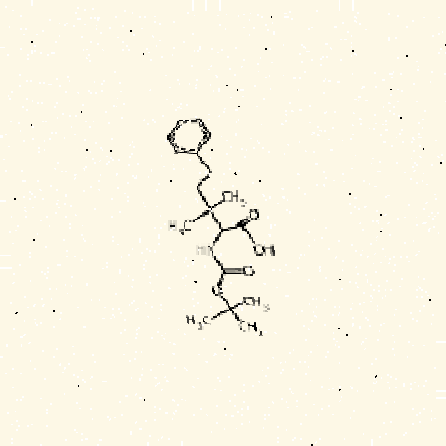 CC(C)(C)OC(=O)NC(C(=O)O)C(C)(C)CCc1ccccc1